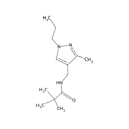 CCCn1cc(CNC(=O)C(C)(C)C)c(C)n1